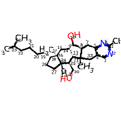 Cc1ncc2c(n1)C[C@H](CO)[C@@](C)([C@H]1CC[C@]3(C)[C@@H](CCCCC(C)C)CC[C@H]3[C@@H]1CO)C2